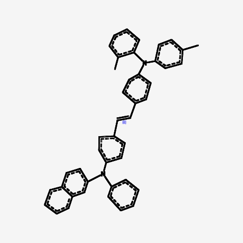 Cc1ccc(N(c2ccc(/C=C/c3ccc(N(c4ccccc4)c4ccc5ccccc5c4)cc3)cc2)c2ccccc2C)cc1